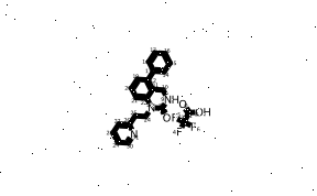 O=C(O)C(F)(F)F.O=C1NCc2c(-c3ccccc3)cccc2N1CCc1ccccn1